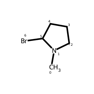 CN1[CH]CCC1Br